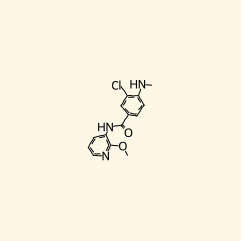 CNc1ccc(C(=O)Nc2cccnc2OC)cc1Cl